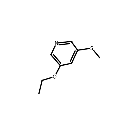 CCOc1cn[c]c(SC)c1